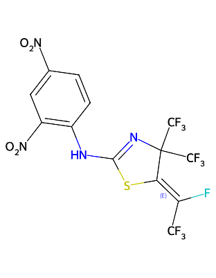 O=[N+]([O-])c1ccc(NC2=NC(C(F)(F)F)(C(F)(F)F)/C(=C(\F)C(F)(F)F)S2)c([N+](=O)[O-])c1